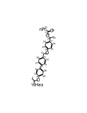 CCCCCCC(C)Oc1ccc(-c2ccc(COc3ccc(C(C)OC(=O)CCC)cc3)cc2)cc1